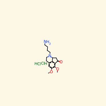 COc1cc2c3c(c1OC)C(=O)CC3N(CCCCN)CC2.Cl.Cl